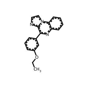 CCOc1cccc(-c2nc3ccccc3n3ccnc23)c1